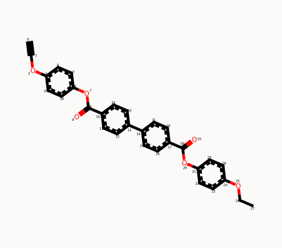 C#COc1ccc(OC(=O)c2ccc(-c3ccc(C(=O)Oc4ccc(OCC)cc4)cc3)cc2)cc1